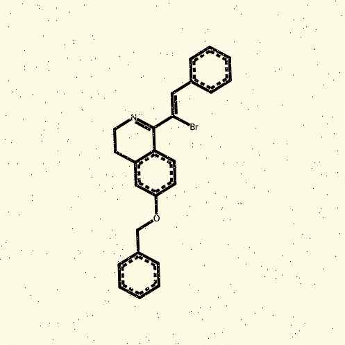 BrC(=Cc1ccccc1)C1=NCCc2cc(OCc3ccccc3)ccc21